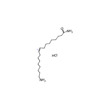 Cl.NCCCCCCCC/C=C\CCCCCCCC(N)=O